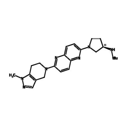 Cn1ncc2c1CCN(c1ccc3nc(N4CC[C@@H](NC(C)(C)C)C4)ccc3n1)C2